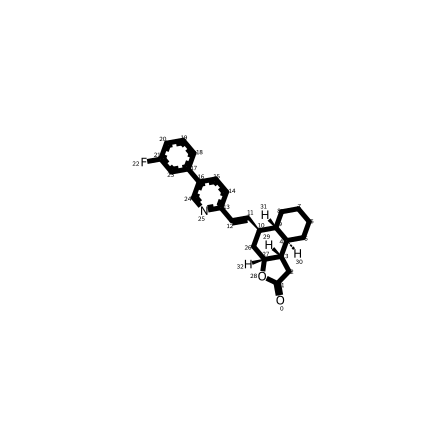 O=C1C[C@H]2[C@@H]3CCCC[C@H]3[C@H](/C=C/c3ccc(-c4cccc(F)c4)cn3)C[C@H]2O1